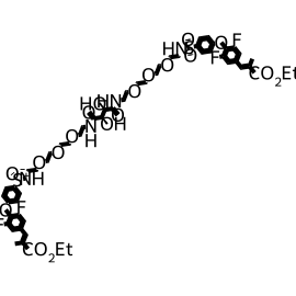 CCOC(=O)/C(C)=C/c1cc(F)c(Oc2ccc([S+]([O-])NCCOCCOCCOCCNC(=O)[C@H](O)[C@@H](O)C(=O)NCCOCCOCCOCCNS(=O)(=O)c3ccc(Oc4c(F)cc(/C=C(\C)C(=O)OCC)cc4F)cc3)cc2)c(F)c1